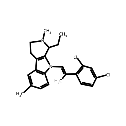 CCC1c2c(c3cc(C)ccc3n2/C=C(\C)c2ccc(Cl)cc2Cl)CCN1C